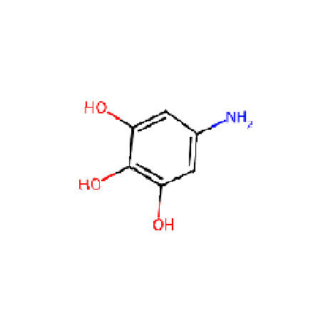 Nc1cc(O)c(O)c(O)c1